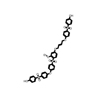 CCOc1cc(OC/C=C/COc2ccc(S(=O)(=O)c3ccc(O)cc3)cc2)ccc1S(=O)(=O)c1ccc(Oc2ccc(S(=O)(=O)c3ccc(O)cc3)cc2)cc1